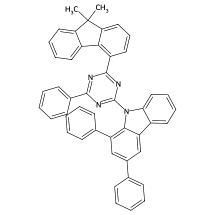 CC1(C)c2ccccc2-c2c(-c3nc(-c4ccccc4)nc(-n4c5ccccc5c5cc(-c6ccccc6)cc(-c6ccccc6)c54)n3)cccc21